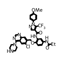 CCC(=O)Nc1ccc(OCc2cc3ncnc(N4CCNCC4)c3cc2Cl)c(NC(=O)c2cnn(-c3ccc(OC)cc3)c2C(F)(F)F)c1